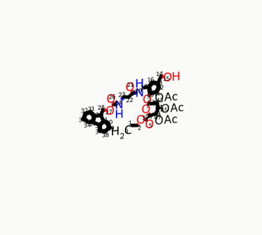 C=CCOC(=O)[C@H]1O[C@@H](Oc2ccc(CO)cc2CNC(=O)CCNC(=O)OCC2c3ccccc3-c3ccccc32)[C@H](OC(C)=O)[C@@H](OC(C)=O)[C@@H]1OC(C)=O